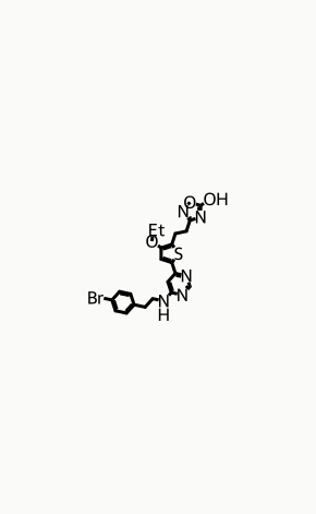 CCOc1cc(-c2cc(NCCc3ccc(Br)cc3)ncn2)sc1CCc1noc(O)n1